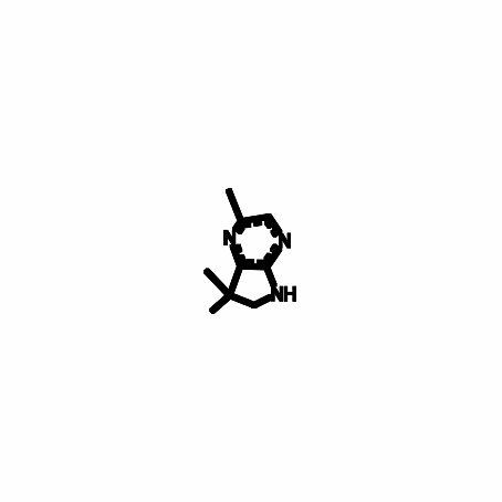 Cc1cnc2c(n1)C(C)(C)CN2